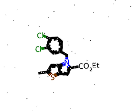 CCOC(=O)c1cc2sc(C)cc2n1Cc1ccc(Cl)c(Cl)c1